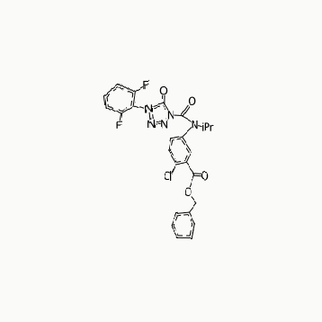 CC(C)N(C(=O)n1nnn(-c2c(F)cccc2F)c1=O)c1ccc(Cl)c(C(=O)OCc2ccccc2)c1